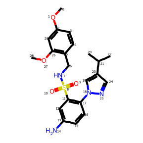 COc1ccc(CNS(=O)(=O)c2cc(N)ccc2-n2cc(C(C)C)cn2)c(OC)c1